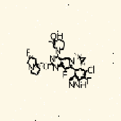 C[C@@H]1C[C@@H]1c1c(Cl)c(F)c2[nH]ncc2c1-c1ncc2c(N3CCC[C@@](C)(O)C3)nc(OC[C@@]34CCCN3C[C@H](F)C4)nc2c1F